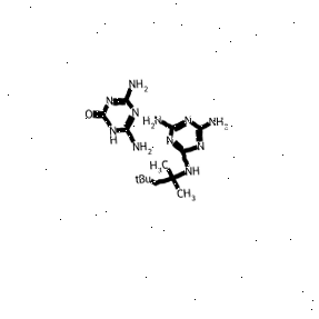 CC(C)(C)CC(C)(C)Nc1nc(N)nc(N)n1.Nc1nc(N)[nH]c(=O)n1